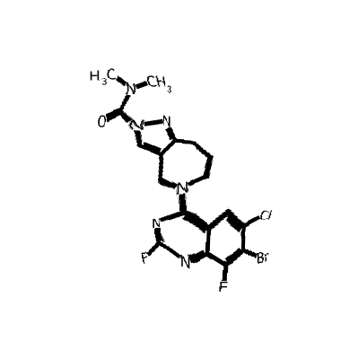 CN(C)C(=O)n1cc2c(n1)CCCN(c1nc(F)nc3c(F)c(Br)c(Cl)cc13)C2